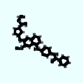 COc1cc2c(Nc3ccc(NC(=O)c4ccccc4)cc3)ncnc2cc1OC1CCN(C(=O)OC(C)(C)C)C1